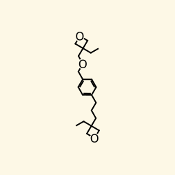 CCC1(CCCc2ccc(COCC3(CC)COC3)cc2)COC1